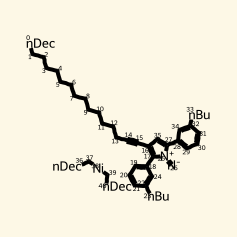 CCCCCCCCCCCCCCCCCCCCCCCC#CC1=C(c2cccc(CCCC)c2)[N+](=[N-])C(c2cccc(CCCC)c2)=C1.CCCCCCCCCC[CH2][Ni][CH2]CCCCCCCCCC